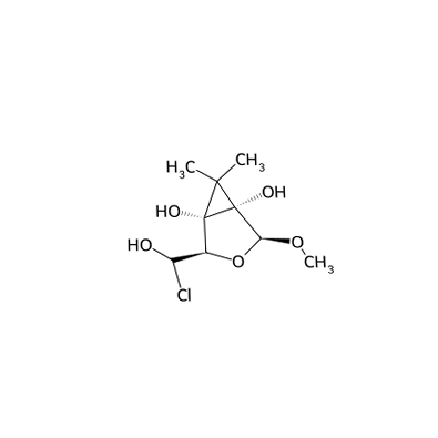 CO[C@H]1O[C@@H](C(O)Cl)[C@@]2(O)C(C)(C)[C@@]12O